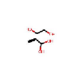 C=CC(O)O.OCCO